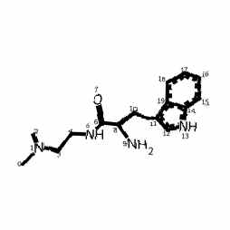 CN(C)CCNC(=O)C(N)Cc1c[nH]c2ccccc12